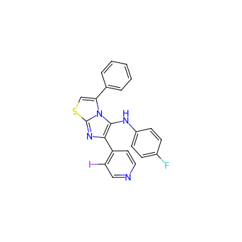 Fc1ccc(Nc2c(-c3ccncc3I)nc3scc(-c4ccccc4)n23)cc1